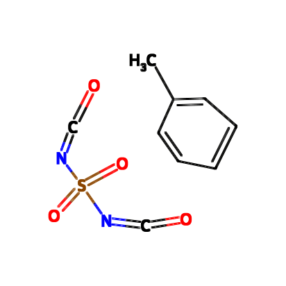 Cc1ccccc1.O=C=NS(=O)(=O)N=C=O